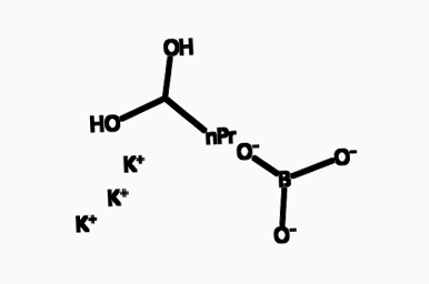 CCCC(O)O.[K+].[K+].[K+].[O-]B([O-])[O-]